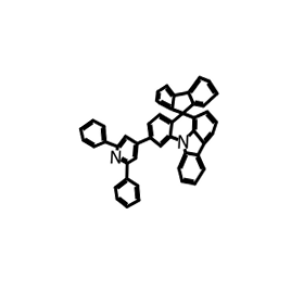 c1ccc(-c2cc(-c3ccc4c(c3)-n3c5ccccc5c5cccc(c53)C43c4ccccc4-c4ccccc43)cc(-c3ccccc3)n2)cc1